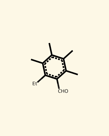 CCc1c(C)c(C)c(C)c(C)c1C=O